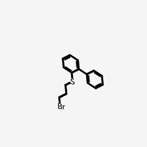 BrCCCSc1ccccc1-c1ccccc1